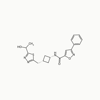 CC(O)c1nnc(C[C@H]2C[C@@H](NC(=O)c3cc(-c4ccccc4)no3)C2)s1